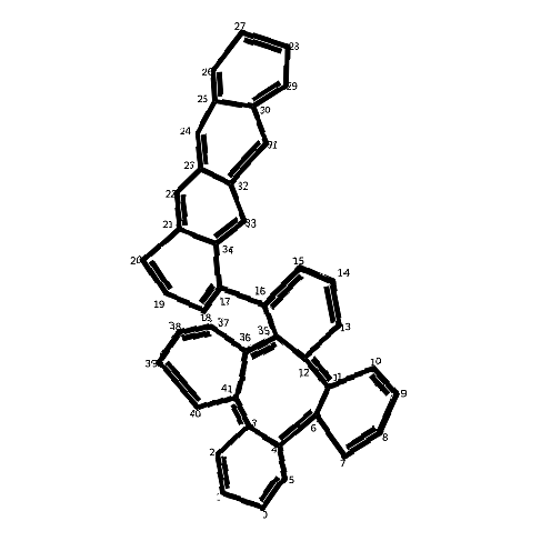 c1ccc2/c(c1)=c1/cccc/c1=c1\cccc(-c3cccc4cc5cc6ccccc6cc5cc34)\c1=c1/cccc/c1=2